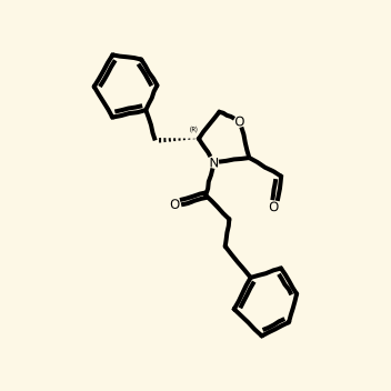 O=CC1OC[C@@H](Cc2ccccc2)N1C(=O)CCc1ccccc1